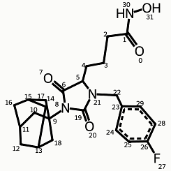 O=C(CCCC1C(=O)N(C23CC4CC(CC(C4)C2)C3)C(=O)N1Cc1ccc(F)cc1)NO